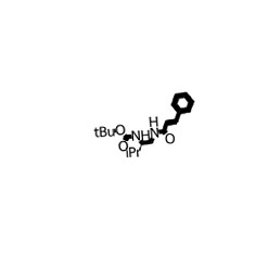 CC(C)[C@@H](CNC(=O)C=Cc1ccccc1)NC(=O)OC(C)(C)C